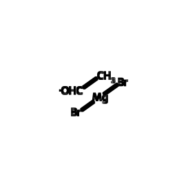 C[C]=O.[Br][Mg][Br]